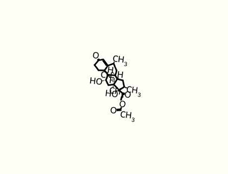 CC(=O)OCC(=O)[C@@]1(O)[C@H](C)C[C@H]2[C@@H]3C[C@H](C)C4=CC(=O)CC[C@]4(C)[C@@]3(F)[C@@H](O)C[C@@]21C